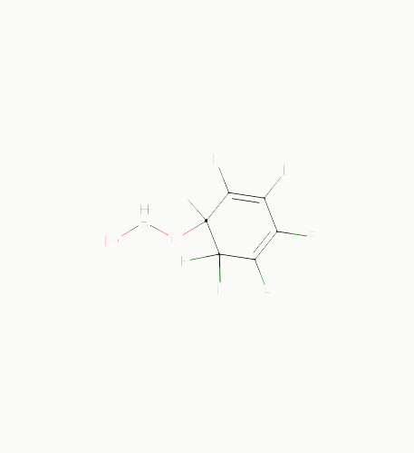 OBOC1(F)C(F)=C(F)C(F)=C(F)C1(F)F